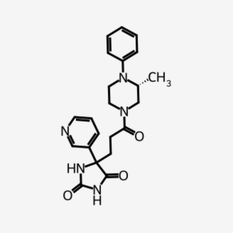 C[C@@H]1CN(C(=O)CCC2(c3cccnc3)NC(=O)NC2=O)CCN1c1ccccc1